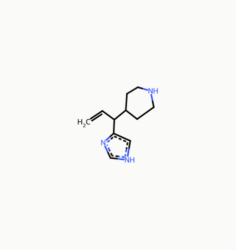 C=CC(c1c[nH]cn1)C1CCNCC1